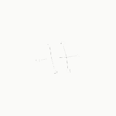 [S]C(Cl)(Cl)C(Cl)(Cl)Br